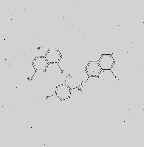 Cc1ccc([O-])cc1C.Cc1ccc2cccc([O-])c2n1.Cc1ccc2cccc([O-])c2n1.[Al+3]